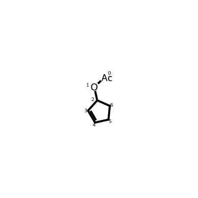 CC(=O)OC1C=CCC1